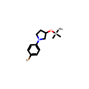 CC(C)(C)[Si](C)(C)OC1CCN(c2ccc(Br)cc2)C1